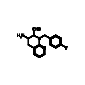 NC1Cc2cccnc2N(Cc2ccc(F)cc2)C1C=O